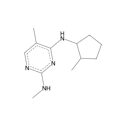 CNc1ncc(C)c(NC2CCCC2C)n1